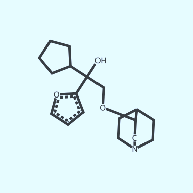 OC(COC1CN2CCC1CC2)(c1ccco1)C1CCCC1